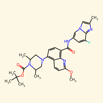 COc1ccc2c(N3CC(C)N(C(=O)OC(C)(C)C)C(C)C3)ccc(C(=O)Nc3cc(F)c4nc(C)cn4c3)c2n1